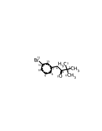 CC(C)(C)C(=O)Cc1cccc(Br)c1